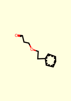 O=CCCOCCc1ccccc1